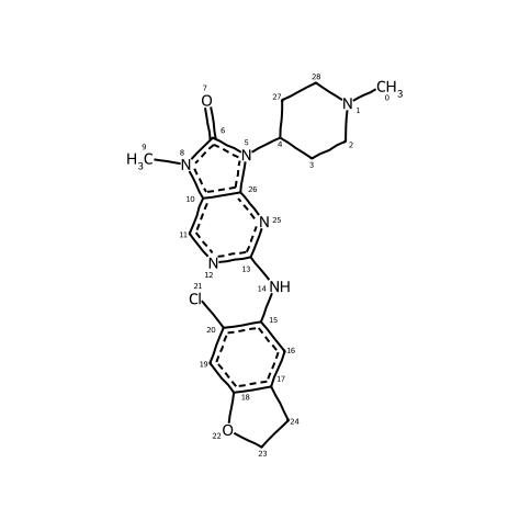 CN1CCC(n2c(=O)n(C)c3cnc(Nc4cc5c(cc4Cl)OCC5)nc32)CC1